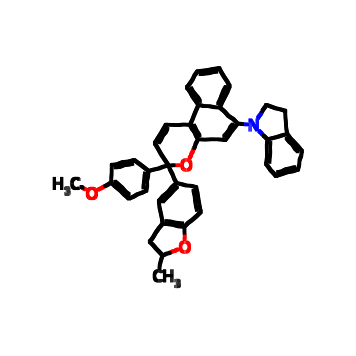 COc1ccc(C2(c3ccc4c(c3)CC(C)O4)C=Cc3c(cc(N4CCc5ccccc54)c4ccccc34)O2)cc1